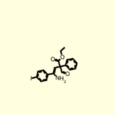 CCOC(=O)C(C=O)(C=C(N)c1ccc(I)cc1)c1ccccc1